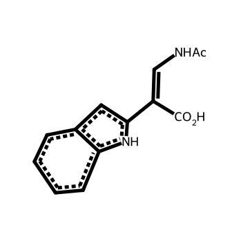 CC(=O)NC=C(C(=O)O)c1cc2ccccc2[nH]1